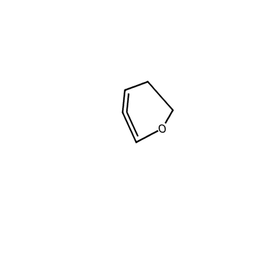 C1=CCCOC=1